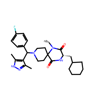 CCCCN1C(=O)[C@H](CC2CCCCC2)NC(=O)C12CCN(C(c1ccc(F)cc1)c1c(C)n[nH]c1C)CC2